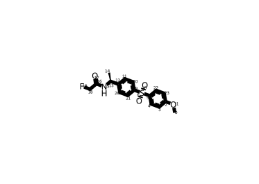 COc1ccc(S(=O)(=O)c2ccc([C@H](C)NC(=O)CF)cc2)cc1